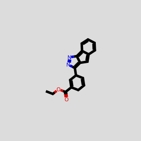 CCOC(=O)C1=CC(C2=C3C=c4ccccc4=C3N=N2)C=CC1